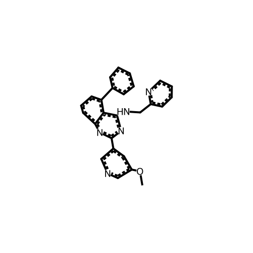 COc1cncc(-c2nc(NCc3ccccn3)c3c(-c4ccccc4)cccc3n2)c1